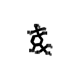 CCCC(C)(C)C1=C(O)C=CC(O)(C(C)(C)CCC)C1